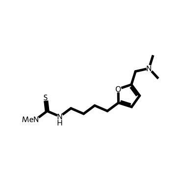 CNC(=S)NCCCCc1ccc(CN(C)C)o1